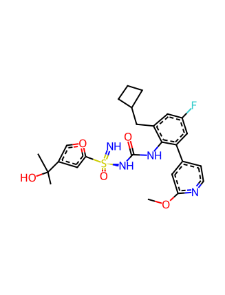 COc1cc(-c2cc(F)cc(CC3CCC3)c2NC(=O)N[S@@](=N)(=O)c2cc(C(C)(C)O)co2)ccn1